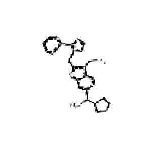 CCn1c(Cn2ccnc2-c2ncccn2)nc2cc(C(C)C3CCCC3)ncc21